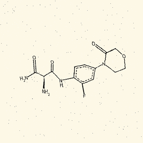 NC(=O)[C@H](N)C(=O)Nc1ccc(N2CCOCC2=O)cc1F